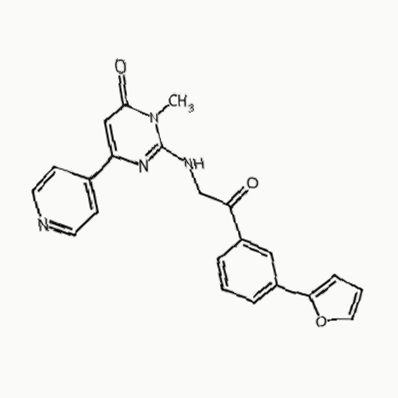 Cn1c(NCC(=O)c2cccc(-c3ccco3)c2)nc(-c2ccncc2)cc1=O